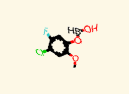 COc1cc(Cl)c(F)cc1OBO